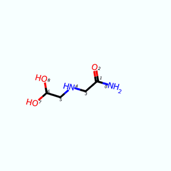 NC(=O)CNCC(O)O